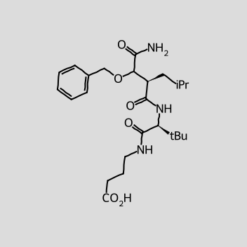 CC(C)C[C@@H](C(=O)N[C@H](C(=O)NCCCC(=O)O)C(C)(C)C)C(OCc1ccccc1)C(N)=O